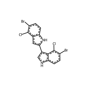 Clc1c(Br)ccc2[nH]c(-c3c[nH]c4ccc(Br)c(Cl)c34)[c]c12